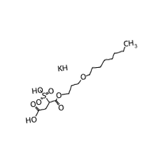 CCCCCCCCOCCCOC(=O)C(CC(=O)O)S(=O)(=O)O.[KH]